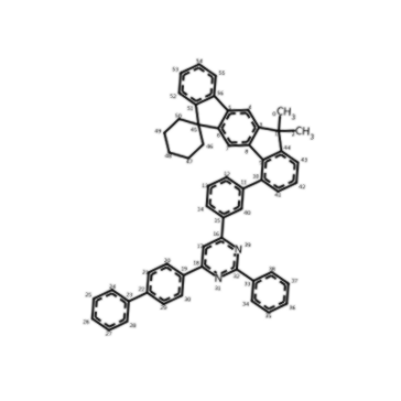 CC1(C)c2cc3c(cc2-c2c(-c4cccc(-c5cc(-c6ccc(-c7ccccc7)cc6)nc(-c6ccccc6)n5)c4)cccc21)C1(CCCCC1)c1ccccc1-3